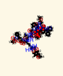 Cc1c(C)c(S(=O)(=O)N(C)C(=N)NCCC[C@H](NC(=O)[C@H](CC(C)C)NC(=O)NNC(=O)[C@H](Cc2ccccc2)NC(=O)[C@@H](NC(=O)[C@H](CC(=O)NC(c2ccccc2)(c2ccccc2)c2ccccc2)NC(=O)[C@@H]2C[C@@H](OC(C)(C)C)CN2C(=O)[C@@H](N)Cc2ccc(OC(C)(C)C)cc2)[C@@H](C)OC(C)(C)C)C(=O)N[C@@H](Cc2cn(C(=O)OC(C)(C)C)c3ccccc23)C(=O)O)c(C)c2c1OC(C)(C)C2